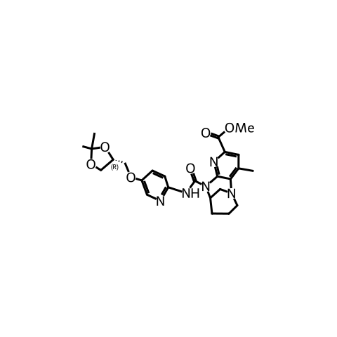 COC(=O)c1cc(C)c2c(n1)N(C(=O)Nc1ccc(OC[C@@H]3COC(C)(C)O3)cn1)C1CCCN2C1